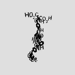 CCOP(=O)(OCC)OCCc1ccc(NC(=O)c2ccccc2Nc2nc(=O)c3nc(CNc4ccc(C(=O)N[C@@H](CCC(=O)O)C(=O)O)cc4)cnc3[nH]2)cc1